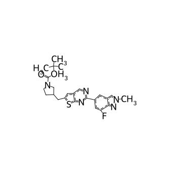 Cn1cc2cc(-c3ncc4cc(CC5CCN(C(=O)OC(C)(C)C)C5)sc4n3)cc(F)c2n1